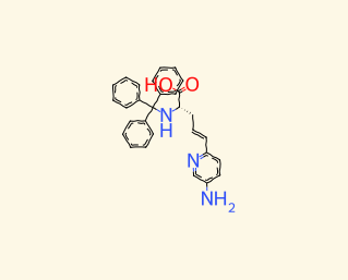 Nc1ccc(C=CC[C@H](NC(c2ccccc2)(c2ccccc2)c2ccccc2)C(=O)O)nc1